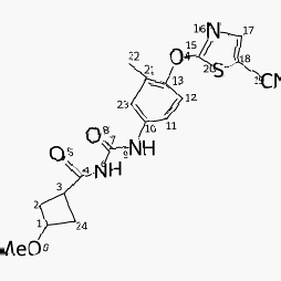 COC1CC(C(=O)NC(=O)Nc2ccc(Oc3ncc(C#N)s3)c(C)c2)C1